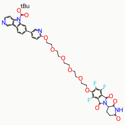 CC(C)(C)OC(=O)n1c2ccncc2c2ccc(-c3ccc(OCCOCCOCCOCCOCCOc4c(F)c(F)c5c(c4F)C(=O)N(C4CCC(=O)NC4=O)C5=O)nc3)cc21